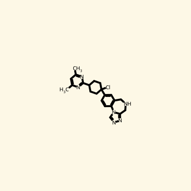 Cc1cc(C)nc(C2CCC(Cl)(c3ccc4c(c3)CNCc3nncn3-4)CC2)n1